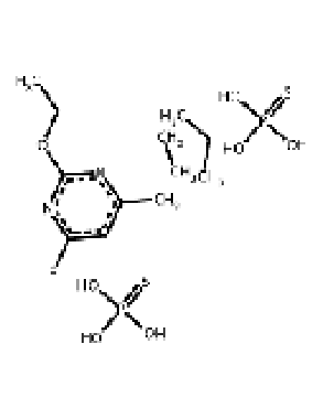 CC.CCC.CCOc1nc(C)cc(F)n1.OP(O)(O)=S.OP(O)(O)=S